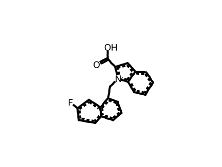 O=C(O)c1cc2ccccc2n1Cc1cccc2ccc(F)cc12